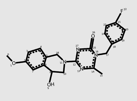 COc1ccc2c(c1)C(O)CN(c1nc(C)n(Cc3ccc(F)cc3)c(=O)n1)C2